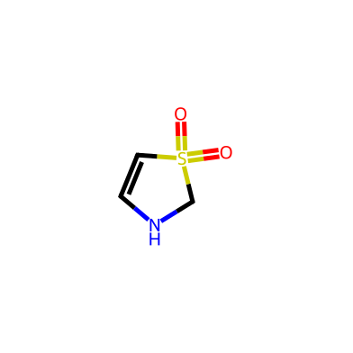 O=S1(=O)C=CNC1